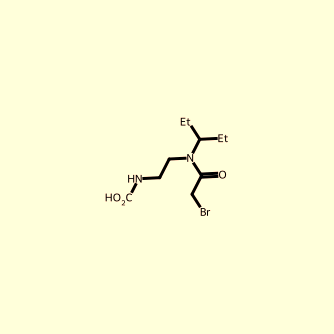 CCC(CC)N(CCNC(=O)O)C(=O)CBr